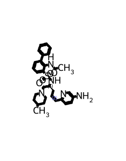 CC(=O)Nc1c(-c2ccccc2)cccc1S(=O)(=O)N[C@@H](C/C=C\c1ccc(N)cn1)C(=O)N1CCC(C)CC1